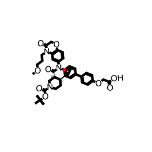 COCCCN1C(=O)COc2ccc(N(C(=O)[C@H]3CN(C(=O)OC(C)(C)C)CC[C@@H]3c3cccc(-c4ccc(OCC(=O)O)cc4)c3)C3CC3)cc21